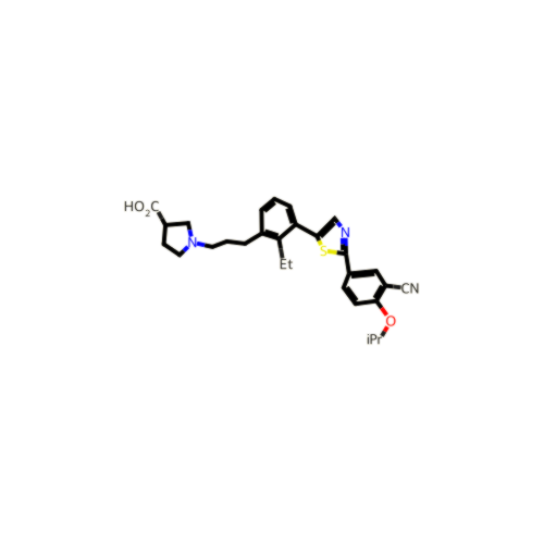 CCc1c(CCCN2CCC(C(=O)O)C2)cccc1-c1cnc(-c2ccc(OC(C)C)c(C#N)c2)s1